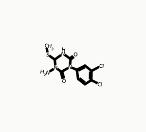 CSC1NC(=O)N(c2ccc(Cl)c(Cl)c2)C(=O)N1N